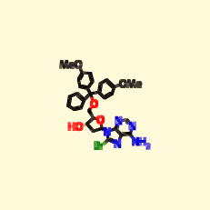 COc1ccc(C(OC[C@H]2O[C@@H](n3c(Br)nc4c(N)ncnc43)C[C@@H]2O)(c2ccccc2)c2ccc(OC)cc2)cc1